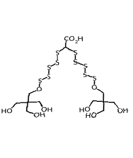 O=C(O)C(SSSSSOCC(CO)(CO)CO)SSSSSOCC(CO)(CO)CO